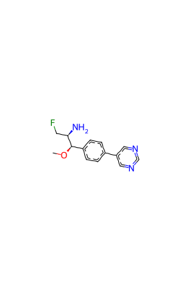 CO[C@H](c1ccc(-c2cncnc2)cc1)[C@H](N)CF